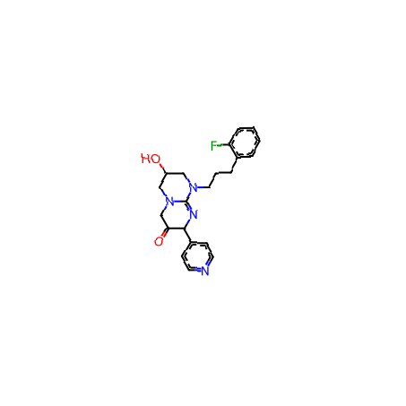 O=C1CN2CC(O)CN(CCCc3ccccc3F)C2=NC1c1ccncc1